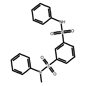 CN(c1ccccc1)S(=O)(=O)c1cccc(S(=O)(=O)Nc2ccccc2)c1